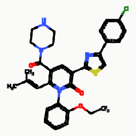 CC(C)=Cc1c(C(=O)N2CCNCC2)cc(-c2nc(-c3ccc(Cl)cc3)cs2)c(=O)n1-c1ccccc1OCC(F)(F)F